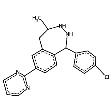 CC1Cc2cc(-c3ncccn3)ccc2C(c2ccc(Cl)cc2)NN1